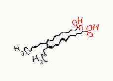 CC/C=C/CC(CCCCCCCCC(=O)O)/C(=C\C=C\CCCCCCCC(=O)O)CCC